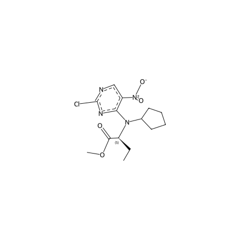 CC[C@@H](C(=O)OC)N(c1nc(Cl)ncc1[N+](=O)[O-])C1CCCC1